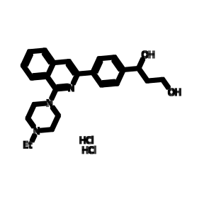 CCN1CCN(c2nc(-c3ccc(C(O)CCO)cc3)cc3ccccc23)CC1.Cl.Cl